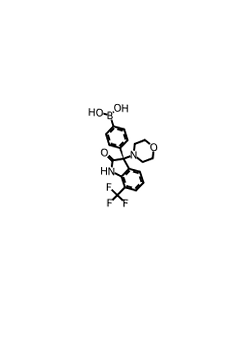 O=C1Nc2c(C(F)(F)F)cccc2[C@@]1(c1ccc(B(O)O)cc1)N1CCOCC1